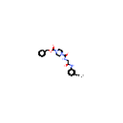 O=C(CNC(=O)N1CCN(C(=O)OCc2ccccc2)CC1)Nc1cccc(C(=O)O)c1